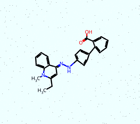 CCc1cc(=NNc2ccc(-c3ccccc3C(=O)O)cc2)c2ccccc2n1C